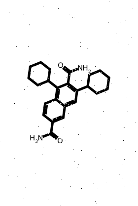 NC(=O)c1ccc2c(C3CCCCC3)c(C(N)=O)c(C3CCCCC3)cc2c1